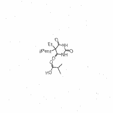 CC(C)C(=O)O.CCCC(C)C1(CC)C(=O)NC(=O)NC1=O